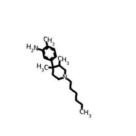 CCCCCCN1CCC(C)(c2ccc(C)c(N)c2)C(C)C1